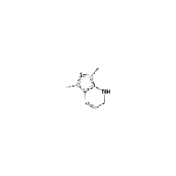 Cc1sc(C)c2c1C=CCN2